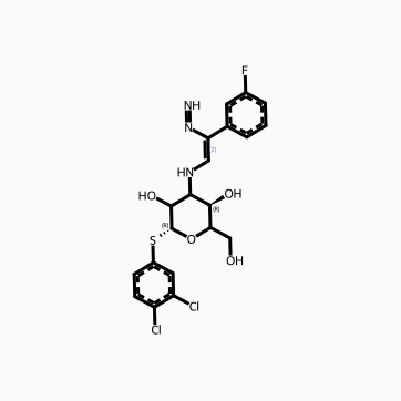 N=N/C(=C\NC1C(O)[C@@H](Sc2ccc(Cl)c(Cl)c2)OC(CO)[C@@H]1O)c1cccc(F)c1